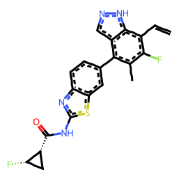 C=Cc1c(F)c(C)c(-c2ccc3nc(NC(=O)[C@@H]4C[C@@H]4F)sc3c2)c2cn[nH]c12